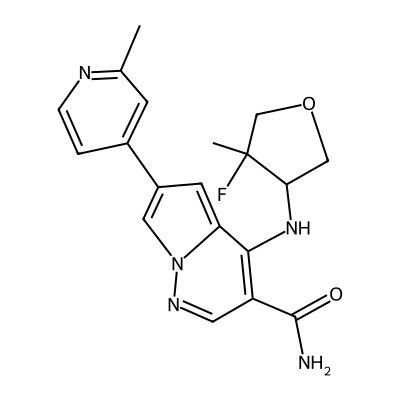 Cc1cc(-c2cc3c(NC4COCC4(C)F)c(C(N)=O)cnn3c2)ccn1